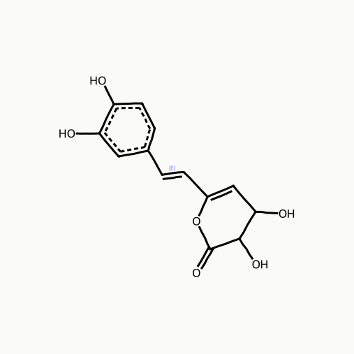 O=C1OC(/C=C/c2ccc(O)c(O)c2)=CC(O)C1O